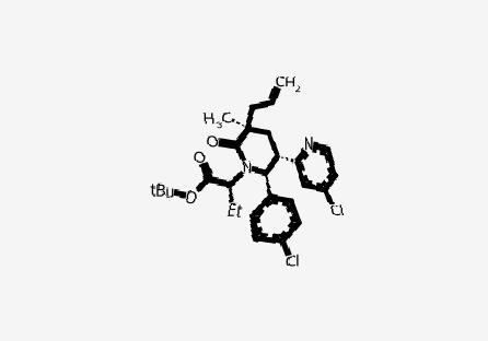 C=CC[C@@]1(C)C[C@H](c2cc(Cl)ccn2)[C@@H](c2ccc(Cl)cc2)N([C@@H](CC)C(=O)OC(C)(C)C)C1=O